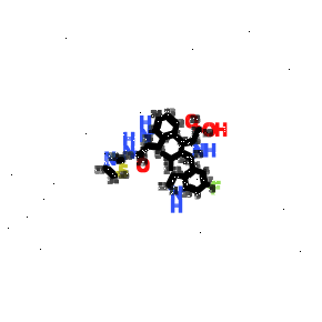 CC(C)c1c(-c2cc(F)cc3[nH]ccc23)[nH]c(C(=O)O)c1-c1cccc2[nH]c(C(=O)Nc3nccs3)cc12